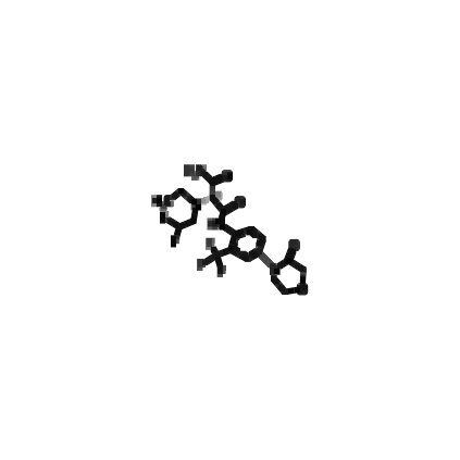 CCN(CC(F)F)[C@H](C(N)=O)C(=O)Nc1ccc(N2CCOCC2=O)cc1C(F)(F)F